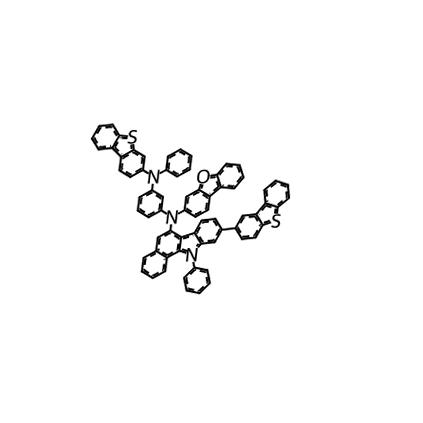 c1ccc(N(c2cccc(N(c3ccc4c(c3)oc3ccccc34)c3cc4ccccc4c4c3c3ccc(-c5ccc6sc7ccccc7c6c5)cc3n4-c3ccccc3)c2)c2ccc3c(c2)sc2ccccc23)cc1